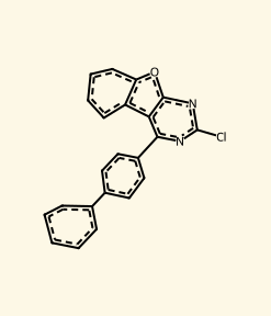 Clc1nc(-c2ccc(-c3ccccc3)cc2)c2c(n1)oc1ccccc12